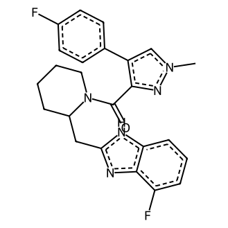 Cn1cc(-c2ccc(F)cc2)c(C(=O)N2CCCCC2Cc2nc3c(F)cccc3[nH]2)n1